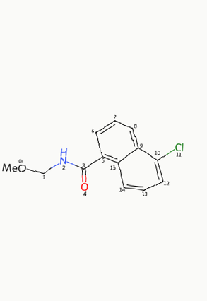 COCNC(=O)c1cccc2c(Cl)cccc12